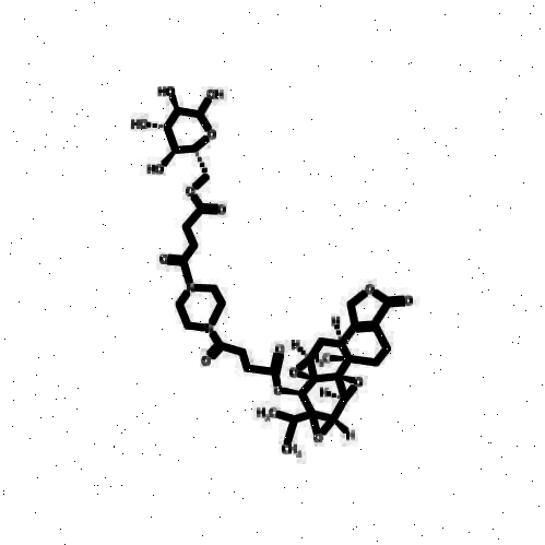 CC(C)C12O[C@H]1[C@@H]1O[C@]13[C@]1(O[C@H]1C[C@H]1C4=C(CC[C@@]13C)C(=O)OC4)[C@@H]2OC(=O)CCC(=O)N1CCN(C(=O)CCC(=O)OC[C@H]2OC(O)[C@H](O)[C@@H](O)[C@@H]2O)CC1